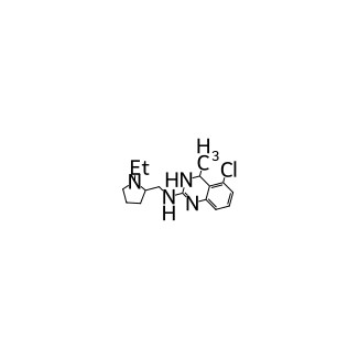 CCN1CCCC1CNC1=Nc2cccc(Cl)c2C(C)N1